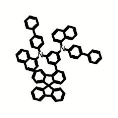 c1ccc(-c2ccc(N(c3cc(-c4cccc5c4-c4ccccc4C54c5ccccc5-c5ccccc54)cc(N(c4ccc(-c5ccccc5)cc4)c4cccc5ccccc45)c3)c3cccc4ccccc34)cc2)cc1